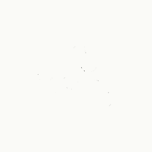 Cc1ccc(N(c2ccc(/C=C\c3cccc(C)c3C)cc2)c2ccc(/C=C\c3cccc(C)c3C)cc2)c(C)c1